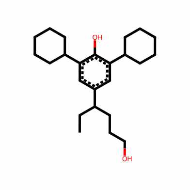 CCC(CCCO)c1cc(C2CCCCC2)c(O)c(C2CCCCC2)c1